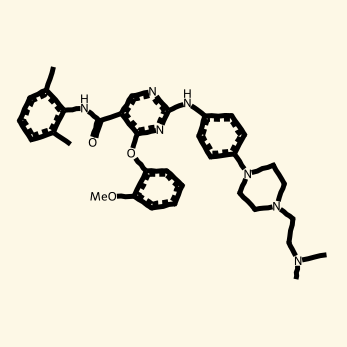 COc1ccccc1Oc1nc(Nc2ccc(N3CCN(CCN(C)C)CC3)cc2)ncc1C(=O)Nc1c(C)cccc1C